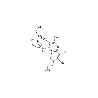 CSc1nc2c(F)c(Br)c(CCC#N)cc2c(NC2C3CCC2C3)c1C#CCO